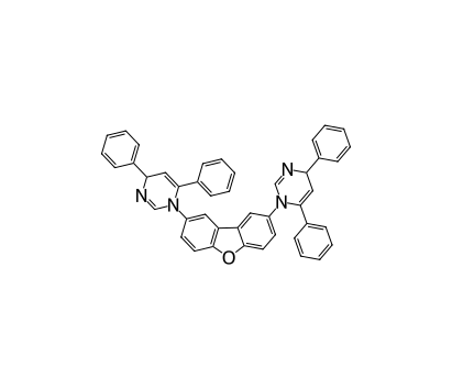 C1=NC(c2ccccc2)C=C(c2ccccc2)N1c1ccc2oc3ccc(N4C=NC(c5ccccc5)C=C4c4ccccc4)cc3c2c1